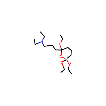 CCOC1(CCCN(CC)CC)CCC[Si](OCC)(OCC)O1